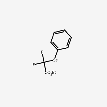 CCOC(=O)C(F)(F)[Se]c1ccccc1